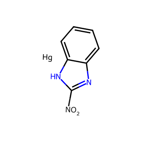 O=[N+]([O-])c1nc2ccccc2[nH]1.[Hg]